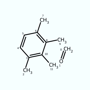 C=O.Cc1ccc(C)c(C)c1C